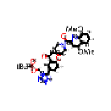 COc1cc(C(=O)N2CCC3(CC2)CC(=O)c2cc(-c4nnnn4COC(=O)C(C)(C)C)ccc2O3)nc2c(OC)cccc12